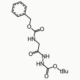 CC(C)(C)OC(=O)NNC(=O)CNC(=O)OCc1ccccc1